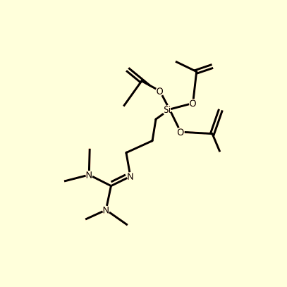 C=C(C)O[Si](CCCN=C(N(C)C)N(C)C)(OC(=C)C)OC(=C)C